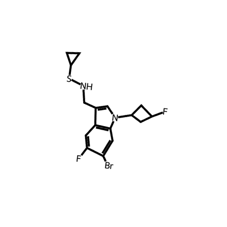 Fc1cc2c(CNSC3CC3)cn(C3CC(F)C3)c2cc1Br